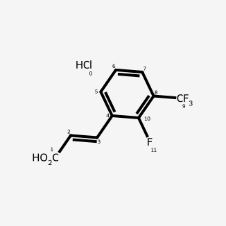 Cl.O=C(O)C=Cc1cccc(C(F)(F)F)c1F